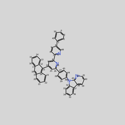 c1ccc(-c2ccc(-c3cc(-c4c5ccccc5cc5ccccc45)cc(-c4ccc(-n5c6ccccc6c6cccnc65)cc4)n3)nc2)cc1